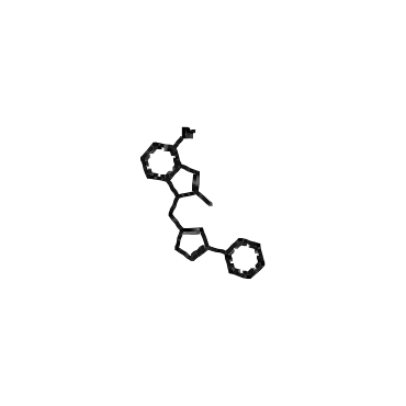 CC1=Cc2c(Br)cccc2C1CC1=CC(c2ccccc2)=CC1